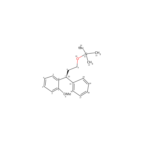 COc1ccccc1[C@@H](CCO[Si](C)(C)C(C)(C)C)c1ccccc1